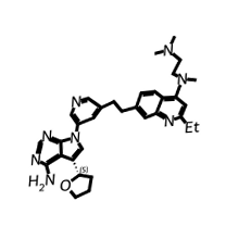 CCc1cc(N(C)CCN(C)C)c2ccc(CCc3cncc(-n4cc([C@@H]5CCCO5)c5c(N)ncnc54)c3)cc2n1